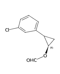 O=CO[C@@H]1CC1c1cccc(Cl)c1